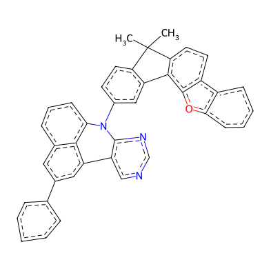 CC1(C)c2ccc(N3c4ncncc4-c4cc(-c5ccccc5)cc5cccc3c45)cc2-c2c1ccc1c2oc2ccccc21